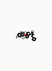 CC(CC1CCCCC1)C(=O)N1CCC(O)(Cn2cnc3ccc(F)cc3c2=O)C2(CCCC2)C1